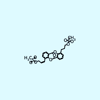 CS(=O)(=O)OC/C=C\c1cccc2c1OC1OC2Oc2c(CCCOS(C)(=O)=O)cccc21